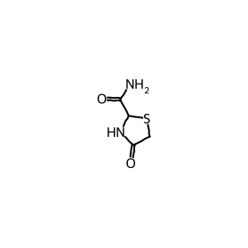 NC(=O)C1NC(=O)CS1